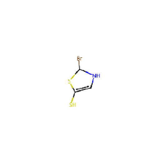 SC1=CNC(Br)S1